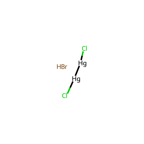 Br.[Cl][Hg][Hg][Cl]